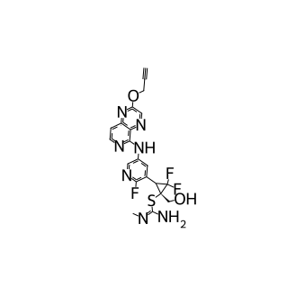 C#CCOc1cnc2c(Nc3cnc(F)c(C4C(F)(F)[C@]4(CO)S/C(N)=N\C)c3)nccc2n1